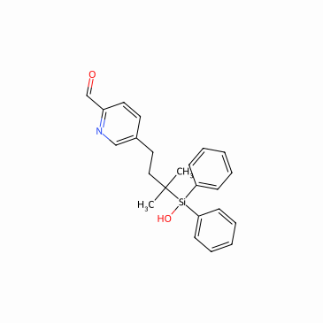 CC(C)(CCc1ccc(C=O)nc1)[Si](O)(c1ccccc1)c1ccccc1